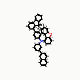 CC1(C)c2ccccc2-c2cccc(-c3ccc(N(c4cccc(-c5ccc6ccccc6c5)c4)c4cccc5oc6ccccc6c45)cc3)c21